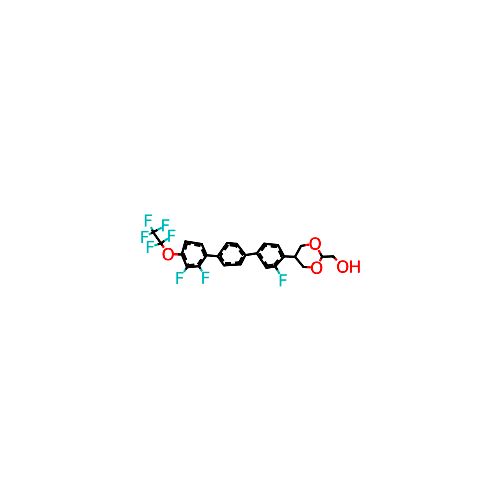 OCC1OCC(c2ccc(-c3ccc(-c4ccc(OC(F)(F)C(F)(F)F)c(F)c4F)cc3)cc2F)CO1